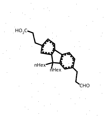 CCCCCCC1(CCCCCC)c2cc(CCC=O)ccc2-c2ccc(CCC(=O)O)cc21